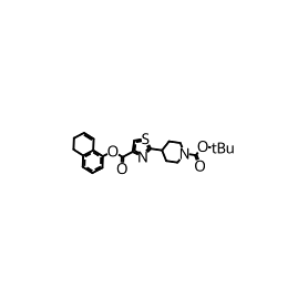 CC(C)(C)OC(=O)N1CCC(c2nc(C(=O)Oc3cccc4c3C=CCC4)cs2)CC1